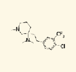 CN1CCC[C@@](CCc2ccc(Cl)c(C(F)(F)F)c2)(N(C)C)C1